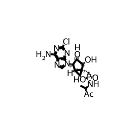 CC(=O)C(C)NP(=O)(O)C[C@]12C[C@@H]1[C@@H](n1cnc3c(N)nc(Cl)nc31)[C@H](O)[C@@H]2O